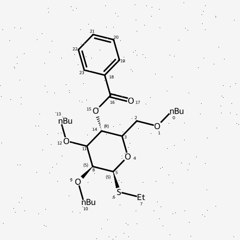 CCCCOCC1O[C@@H](SCC)[C@@H](OCCCC)C(OCCCC)[C@@H]1OC(=O)c1ccccc1